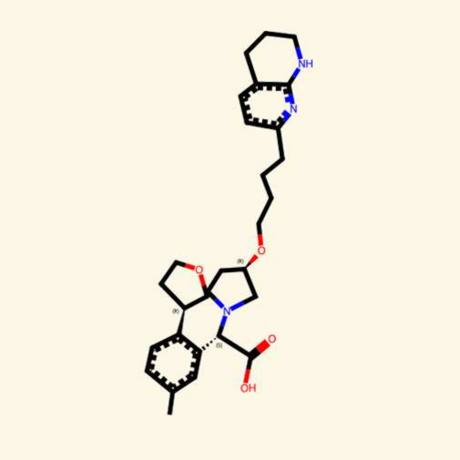 Cc1ccc([C@H]2CCOC2)c([C@@H](C(=O)O)N2CC[C@@H](OCCCCc3ccc4c(n3)NCCC4)C2)c1